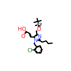 CCCCc1nc(CO[Si](C)(C)C(C)(C)C)c(C=CC(=O)O)n1Cc1ccccc1Cl